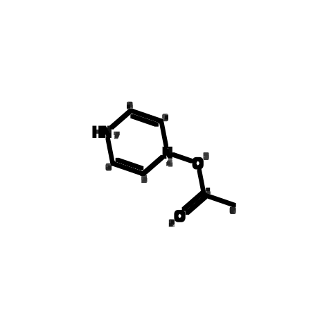 CC(=O)ON1C=CNC=C1